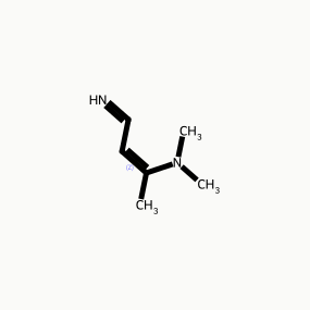 C/C(=C/C=N)N(C)C